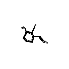 C=[C]c1cccc(CCC)c1F